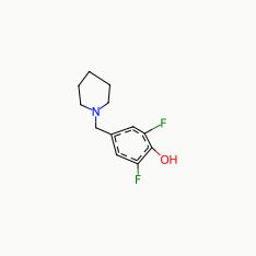 Oc1c(F)cc(CN2CCCCC2)cc1F